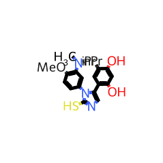 CCCN(C)c1cc(-n2c(-c3cc(C(C)C)c(O)cc3O)cnc2S)ccc1OC